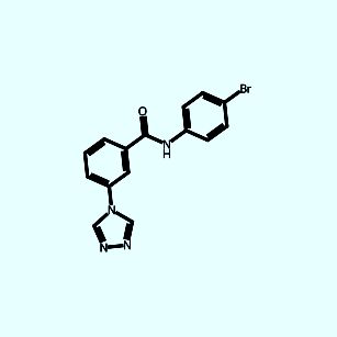 O=C(Nc1ccc(Br)cc1)c1cccc(-n2cnnc2)c1